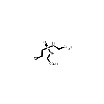 O=C(O)CNP(=O)(CCCl)NCC(=O)O